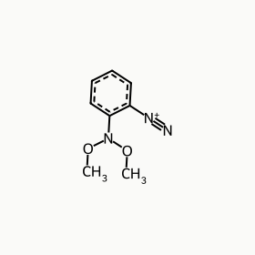 CON(OC)c1ccccc1[N+]#N